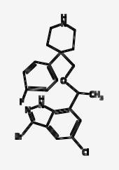 CC(OCC1(c2ccc(F)cc2)CCNCC1)c1cc(Cl)cc2c(Br)n[nH]c12